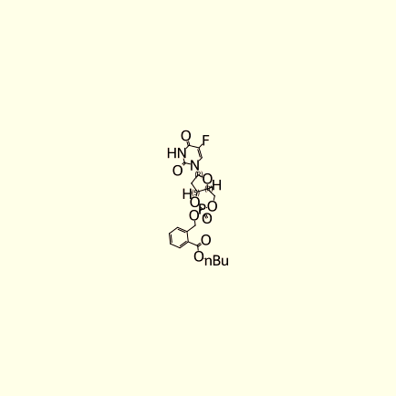 CCCCOC(=O)c1ccccc1COP1(=O)OC[C@H]2O[C@@H](n3cc(F)c(=O)[nH]c3=O)C[C@@H]2O1